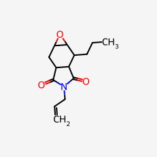 C=CCN1C(=O)C2CC3OC3C(CCC)C2C1=O